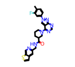 Cc1ccc(-n2cc3c(N4CCCC(C(=O)NCc5cc6ccsc6cn5)C4)ncnc3n2)cc1F